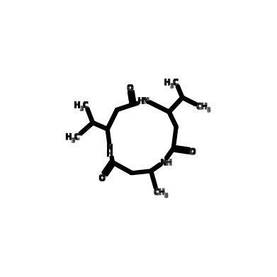 CC1CC(=O)NC(C(C)C)CC(=O)NC(C(C)C)CC(=O)N1